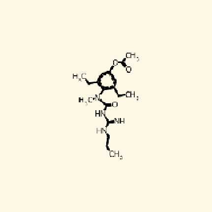 CCCNC(=N)NC(=O)N(C)c1c(CC)cc(OC(C)=O)cc1CC